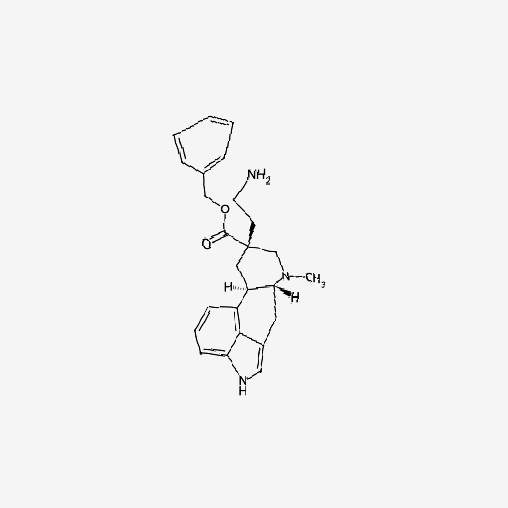 CN1C[C@@](CCN)(C(=O)OCc2ccccc2)C[C@@H]2c3cccc4[nH]cc(c34)C[C@H]21